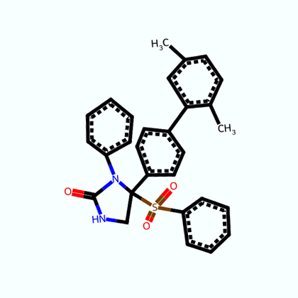 Cc1ccc(C)c(-c2ccc(C3(S(=O)(=O)c4ccccc4)CNC(=O)N3c3ccccc3)cc2)c1